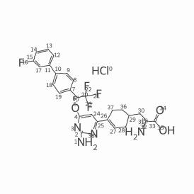 Cl.Nc1nc(O[C@H](c2ccc(-c3cccc(F)c3)cc2)C(F)(F)F)cc(C2=CCC(C[C@H](N)C(=O)O)CC2)n1